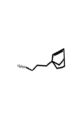 CCCCCCCCCC12C=CC([CH]C1)C2